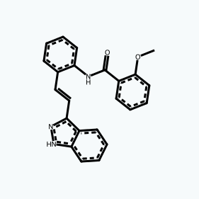 COc1ccccc1C(=O)Nc1ccccc1C=Cc1n[nH]c2ccccc12